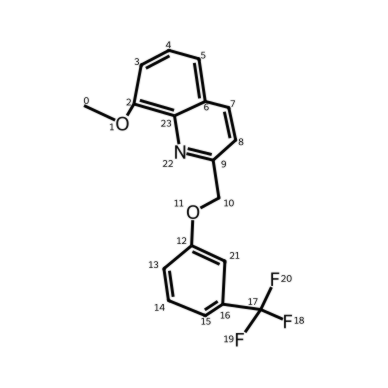 COc1cccc2ccc(COc3cccc(C(F)(F)F)c3)nc12